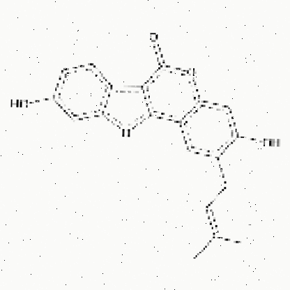 CC(C)=CCc1cc2c(cc1O)oc(=O)c1c3ccc(O)cc3oc21